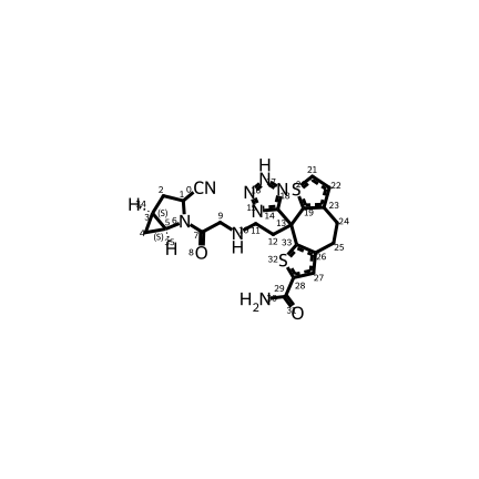 N#CC1C[C@@H]2C[C@@H]2N1C(=O)CNCCC1(c2nn[nH]n2)c2sccc2CCc2cc(C(N)=O)sc21